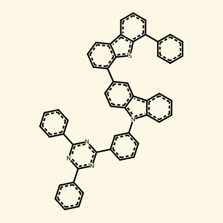 c1ccc(-c2nc(-c3ccccc3)nc(-c3cccc(-n4c5ccccc5c5cc(-c6cccc7c6sc6c(-c8ccccc8)cccc67)ccc54)c3)n2)cc1